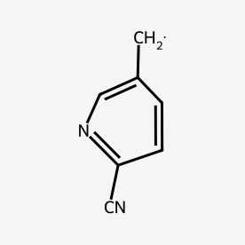 [CH2]c1ccc(C#N)nc1